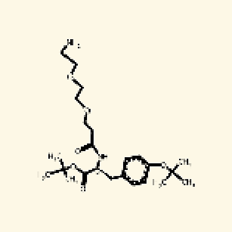 CC(C)(C)OC(=O)[C@H](Cc1ccc(OC(C)(C)C)cc1)NC(=O)CCOCCOCCN